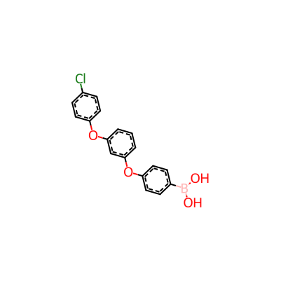 OB(O)c1ccc(Oc2cccc(Oc3ccc(Cl)cc3)c2)cc1